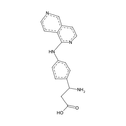 NC(CC(=O)O)c1ccc(Nc2nccc3cnccc23)cc1